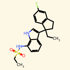 CCC1(c2c[nH]c3c(NS(=O)(=O)CC)cccc23)CCc2cc(F)ccc21